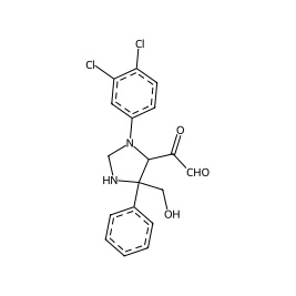 O=CC(=O)C1N(c2ccc(Cl)c(Cl)c2)CNC1(CO)c1ccccc1